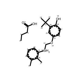 CCCC(=O)O.Cc1cccc([SiH2]COc2ccc(O)c(C(C)(C)C)c2)c1C